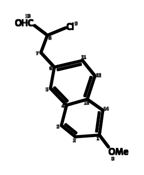 COc1ccc2cc(CC(Cl)C=O)ccc2c1